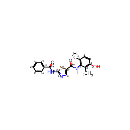 Cc1ccc(O)c(C)c1NC(=O)c1cnc(NC(=O)c2ccccc2)s1